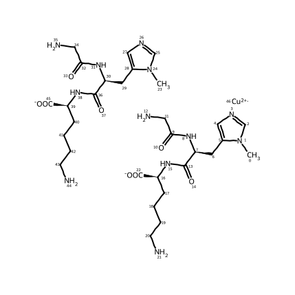 Cn1cncc1C[C@H](NC(=O)CN)C(=O)N[C@@H](CCCCN)C(=O)[O-].Cn1cncc1C[C@H](NC(=O)CN)C(=O)N[C@@H](CCCCN)C(=O)[O-].[Cu+2]